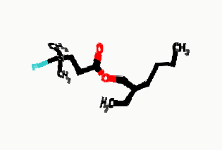 CCCCC(CC)COC(=O)CC[Si](C)(C)F